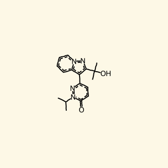 CC(C)n1nc(-c2c(C(C)(C)O)nn3ccccc23)ccc1=O